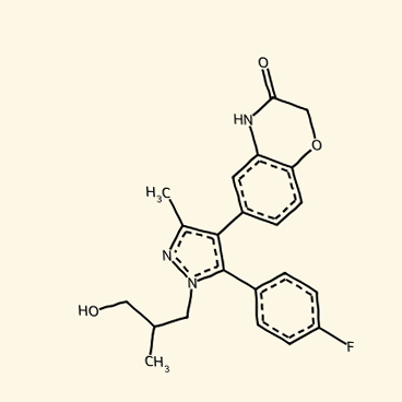 Cc1nn(CC(C)CO)c(-c2ccc(F)cc2)c1-c1ccc2c(c1)NC(=O)CO2